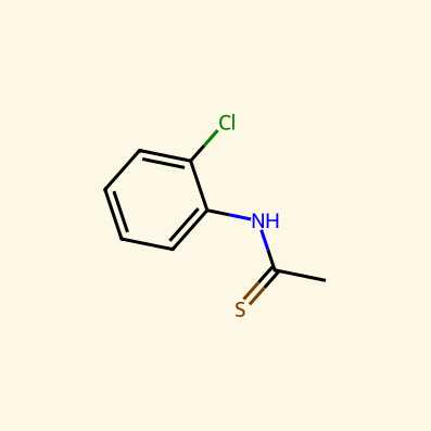 CC(=S)Nc1ccccc1Cl